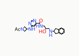 CC(=O)N1CC(Nc2cc(C(=O)NCC(O)CNC3Cc4ccccc4C3)ncn2)C1